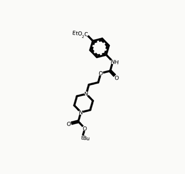 CCOC(=O)c1ccc(NC(=O)OCCN2CCN(C(=O)OC(C)(C)C)CC2)cc1